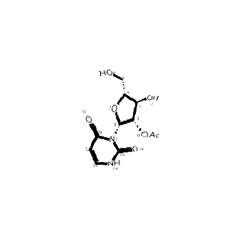 CC(=O)O[C@H]1[C@H](O)[C@@H](CO)O[C@H]1n1c(=O)cc[nH]c1=O